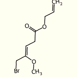 C=CCOC(=O)CC=C(CBr)OC